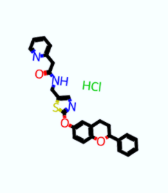 Cl.O=C(Cc1ccccn1)NCc1cnc(Oc2ccc3c(c2)CCC(c2ccccc2)O3)s1